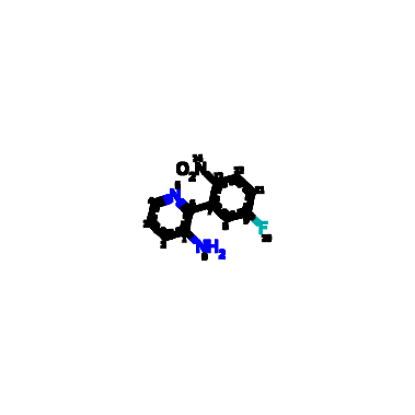 Nc1cccnc1-c1cc(F)ccc1[N+](=O)[O-]